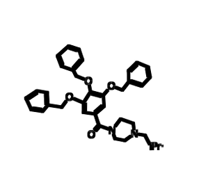 C[C](C)CN1CCN(C(=O)c2cc(OCc3ccccc3)c(OCc3ccccc3)c(OCc3ccccc3)c2)CC1